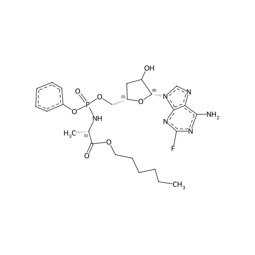 CCCCCCOC(=O)[C@H](C)NP(=O)(OC[C@@H]1CC(O)[C@H](n2cnc3c(N)nc(F)nc32)O1)Oc1ccccc1